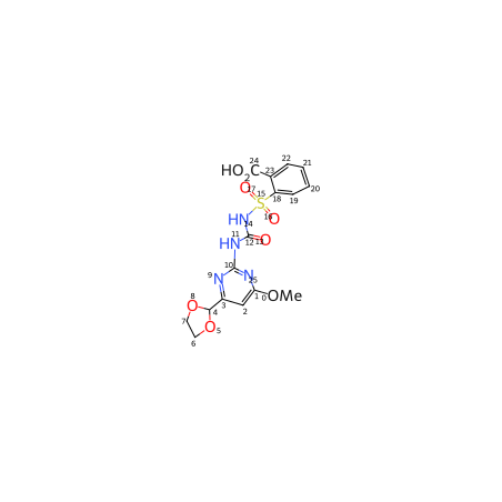 COc1cc(C2OCCO2)nc(NC(=O)NS(=O)(=O)c2ccccc2C(=O)O)n1